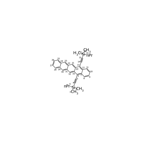 CCC[Si](C)(C)C#Cc1c2ccccc2c(C#C[Si](C)(C)CCC)c2cc3cc4ccccc4cc3cc12